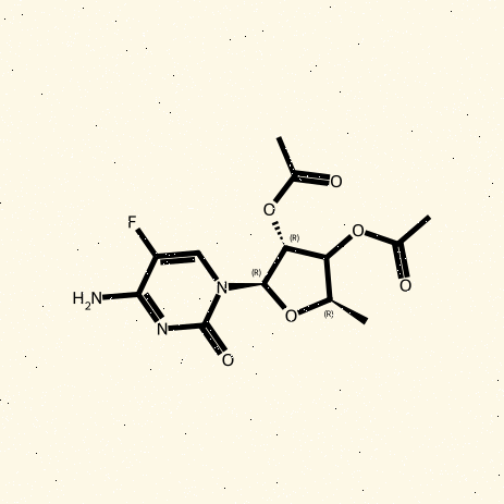 CC(=O)OC1[C@@H](OC(C)=O)[C@H](n2cc(F)c(N)nc2=O)O[C@@H]1C